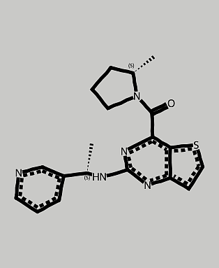 C[C@H](Nc1nc(C(=O)N2CCC[C@@H]2C)c2sccc2n1)c1cccnc1